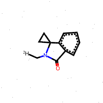 [2H]CN1C(=O)c2ccccc2C12CC2